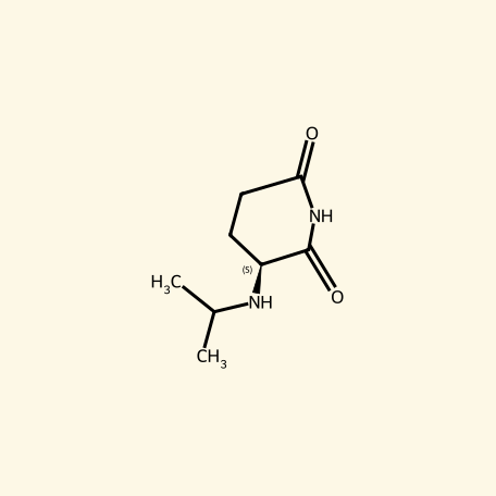 CC(C)N[C@H]1CCC(=O)NC1=O